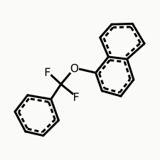 FC(F)(Oc1cccc2ccccc12)c1ccccc1